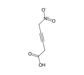 O=C(O)CC#CC[N+](=O)[O-]